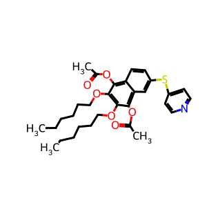 CCCCCCOc1c(OCCCCCC)c(OC(C)=O)c2cc(Sc3ccncc3)ccc2c1OC(C)=O